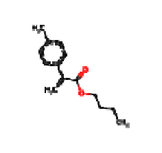 C=C(C(=O)OCCCC)c1ccc(C)cc1